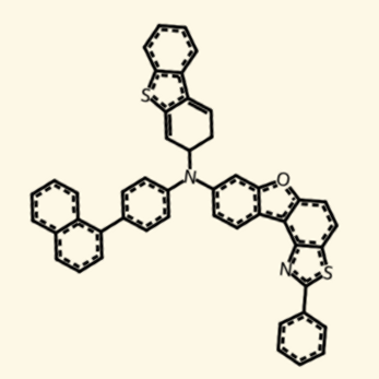 C1=c2sc3ccccc3c2=CCC1N(c1ccc(-c2cccc3ccccc23)cc1)c1ccc2c(c1)oc1ccc3sc(-c4ccccc4)nc3c12